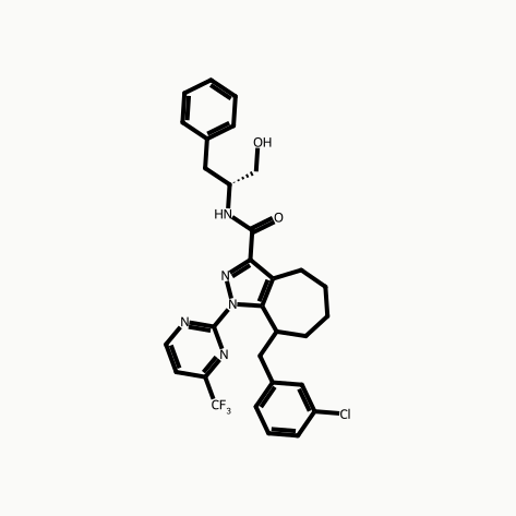 O=C(N[C@@H](CO)Cc1ccccc1)c1nn(-c2nccc(C(F)(F)F)n2)c2c1CCCCC2Cc1cccc(Cl)c1